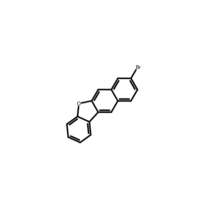 Brc1ccc2cc3c(cc2c1)oc1ccccc13